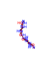 CN(C)CCNC(=O)c1ccc(-c2nc3cc(-c4ccc5[nH]c(-c6ccc(C(=O)NCCCCCNC(=O)c7ccc(-c8nc9cc(-c%10ccc%11[nH]c(-c%12ccc(C(O)NCCN(C)C)cc%12)nc%11c%10)ccc9[nH]8)cc7)cc6)nc5c4)ccc3[nH]2)cc1